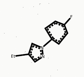 CCc1cnn(-c2ccc(F)cc2)c1